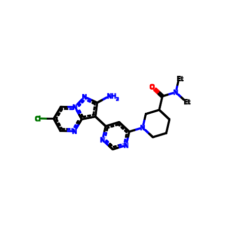 CCN(CC)C(=O)C1CCCN(c2cc(-c3c(N)nn4cc(Cl)cnc34)ncn2)C1